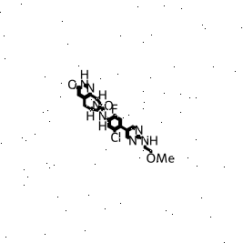 COCCNc1ncc(-c2cc(F)c(NC(=O)N3[C@H]4CC[C@@H]3c3n[nH]c(=O)cc3C4)cc2Cl)cn1